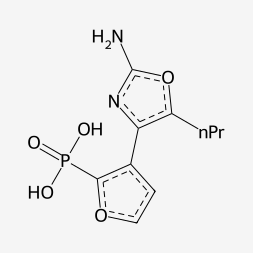 CCCc1oc(N)nc1-c1ccoc1P(=O)(O)O